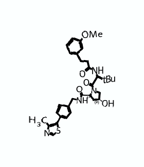 COc1cccc(CCC(=O)NC(C(=O)N2C[C@H](O)C[C@H]2C(=O)NCc2ccc(-c3scnc3C)cc2)C(C)(C)C)c1